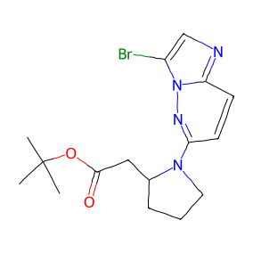 CC(C)(C)OC(=O)CC1CCCN1c1ccc2ncc(Br)n2n1